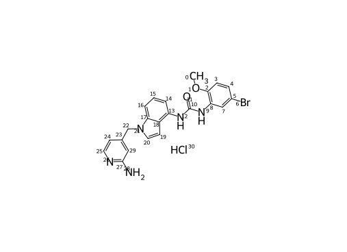 COc1ccc(Br)cc1NC(=O)Nc1cccc2c1ccn2Cc1ccnc(N)c1.Cl